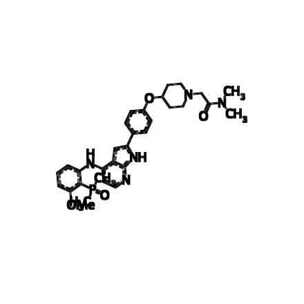 COc1cccc(Nc2ccnc3[nH]c(-c4ccc(OC5CCN(CC(=O)N(C)C)CC5)cc4)cc23)c1P(C)(C)=O